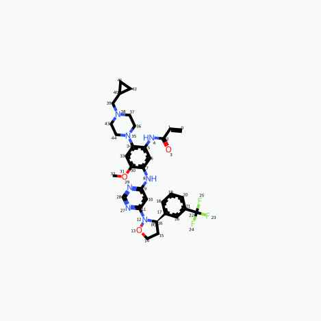 C=CC(=O)Nc1cc(Nc2cc(N3OCC[C@@H]3c3cccc(C(F)(F)F)c3)ncn2)c(OC)cc1N1CCN(CC2CC2)CC1